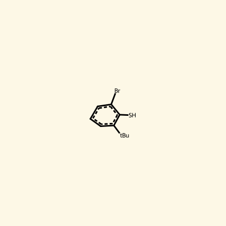 CC(C)(C)c1cccc(Br)c1S